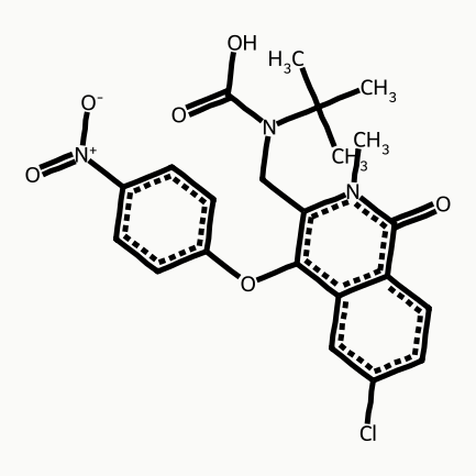 Cn1c(CN(C(=O)O)C(C)(C)C)c(Oc2ccc([N+](=O)[O-])cc2)c2cc(Cl)ccc2c1=O